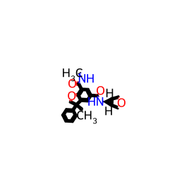 CCC1(c2ccccc2)COc2c(C(=O)NC)cc(C(=O)N[C@H]3[C@@H]4COC[C@@H]43)cc21